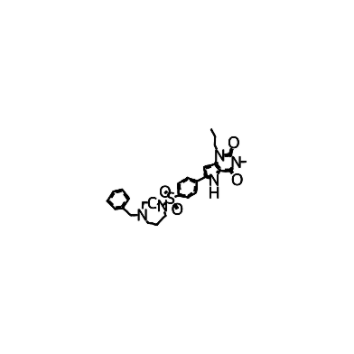 CCCn1c(=O)n(C)c(=O)c2[nH]c(-c3ccc(S(=O)(=O)N4CCCN(Cc5ccccc5)CC4)cc3)cc21